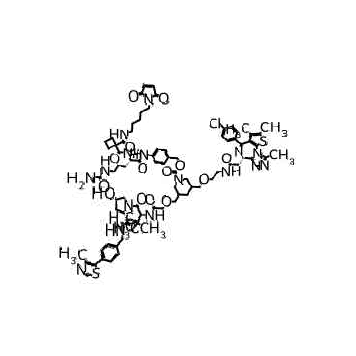 Cc1ncsc1-c1ccc(CNC(=O)[C@@H]2C[C@@H](O)CN2C(=O)[C@@H](NC(=O)COCC2CC(COCCNC(=O)C[C@@H]3N=C(c4ccc(Cl)cc4)c4c(sc(C)c4C)-n4c(C)nnc43)CN(C(=O)OCc3ccc(NC(=O)[C@H](CCCNC(N)=O)NC(=O)C4(C(=O)NCCCCCN5C(=O)C=CC5=O)CCC4)cc3)C2)C(C)(C)C)cc1